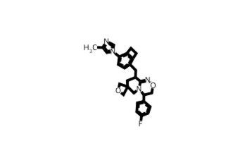 Cc1cn(-c2ccc(CC3CC4(COC4)CN4C3=NOCC4c3ccc(F)cc3)c3c2CC3)cn1